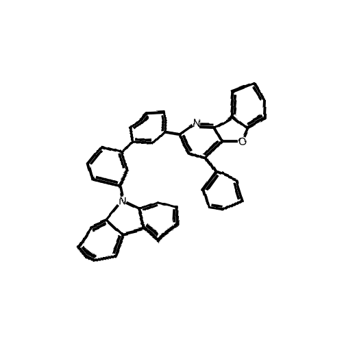 c1ccc(-c2cc(-c3cccc(-c4cccc(-n5c6ccccc6c6ccccc65)c4)c3)nc3c2oc2ccccc23)cc1